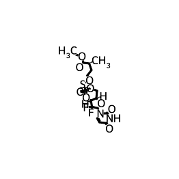 CCOC(=O)[C@H](C)CCOSP1(=O)OC[C@H]2O[C@@H](n3ccc(=O)[nH]c3=O)C(F)(F)[C@@H]2O1